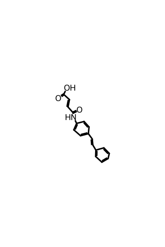 O=C(O)/C=C/C(=O)Nc1ccc(/C=C/c2ccccc2)cc1